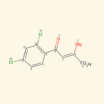 O=C(O)C(O)=CC(=O)c1ccc(Cl)cc1Cl